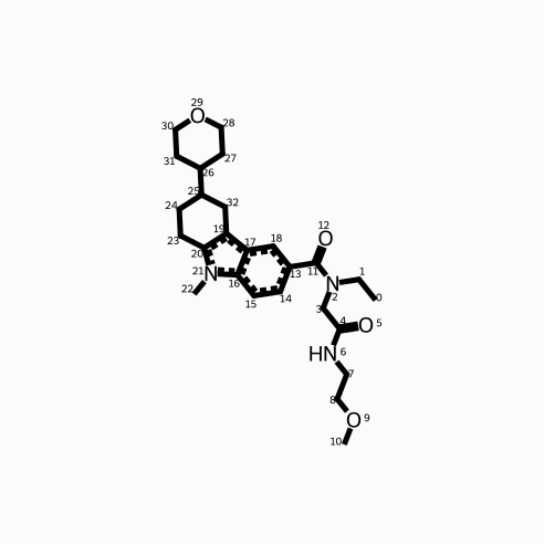 CCN(CC(=O)NCCOC)C(=O)c1ccc2c(c1)c1c(n2C)CCC(C2CCOCC2)C1